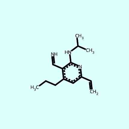 C=Cc1cc(CCC)c(C=N)c(NC(C)C)n1